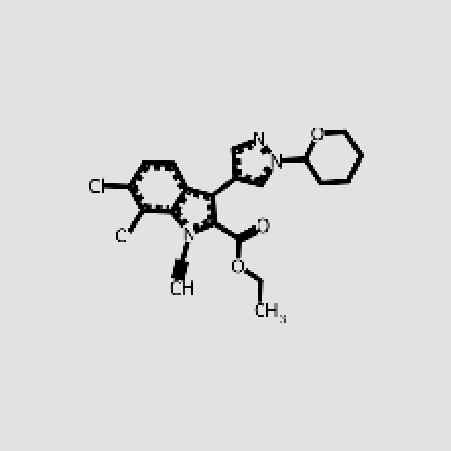 C#Cn1c(C(=O)OCC)c(-c2cnn(C3CCCCO3)c2)c2ccc(Cl)c(Cl)c21